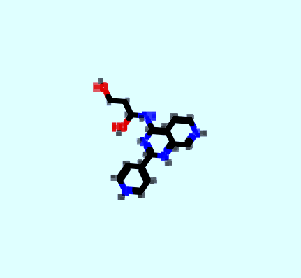 OCCC(O)Nc1nc(-c2ccncc2)nc2cnccc12